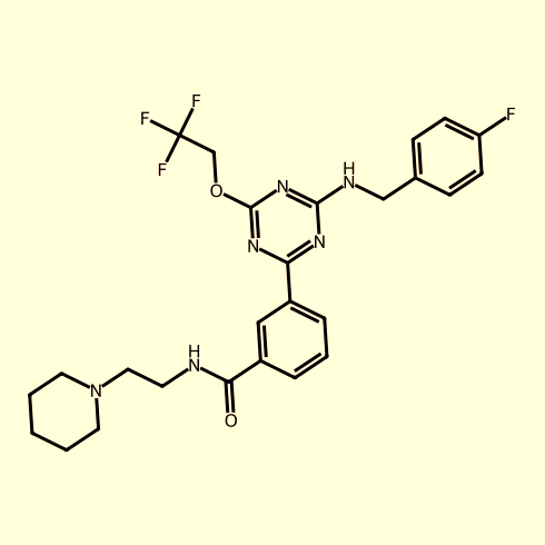 O=C(NCCN1CCCCC1)c1cccc(-c2nc(NCc3ccc(F)cc3)nc(OCC(F)(F)F)n2)c1